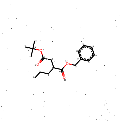 CCCC(CC(=O)OC(C)(C)C)C(=O)OCc1ccccc1